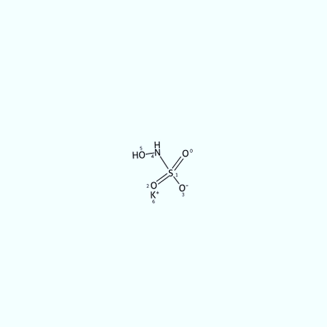 O=S(=O)([O-])NO.[K+]